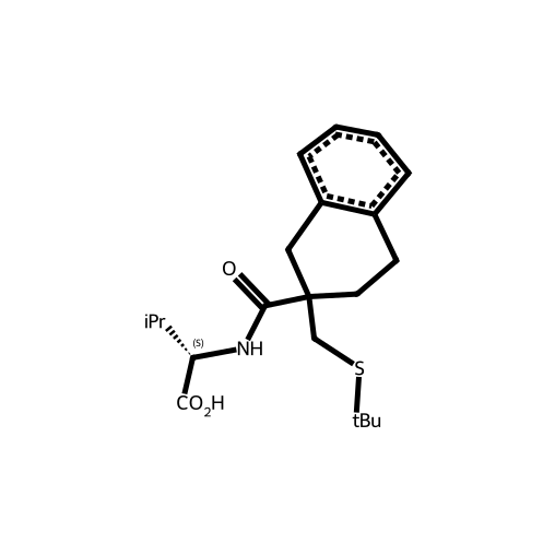 CC(C)[C@H](NC(=O)C1(CSC(C)(C)C)CCc2ccccc2C1)C(=O)O